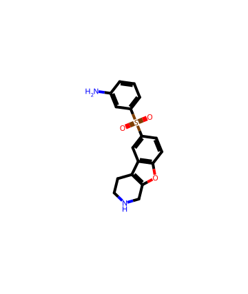 Nc1cccc(S(=O)(=O)c2ccc3oc4c(c3c2)CCNC4)c1